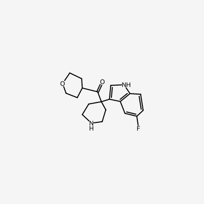 O=C(C1CCOCC1)C1(c2c[nH]c3ccc(F)cc23)CCNCC1